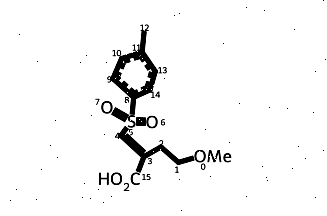 COCCC(=CS(=O)(=O)c1ccc(C)cc1)C(=O)O